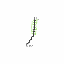 CCCCCCCCCCCCCCCCC(F)(F)C(F)(F)C(F)(F)C(F)(F)C(F)(F)C(F)(F)C(F)(F)C(F)(F)F